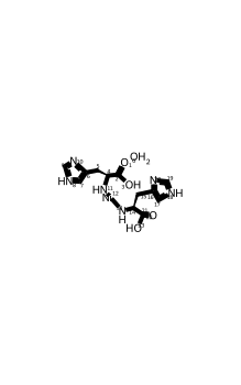 O.O=C(O)[C@H](Cc1c[nH]cn1)[NH][Ni][NH][C@@H](Cc1c[nH]cn1)C(=O)O